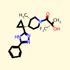 C[C@@H]1CN(C(=O)[C@@](C)(O)C(F)(F)F)CC[C@@H]1C1(c2nnc(-c3ccccc3)[nH]2)CC1